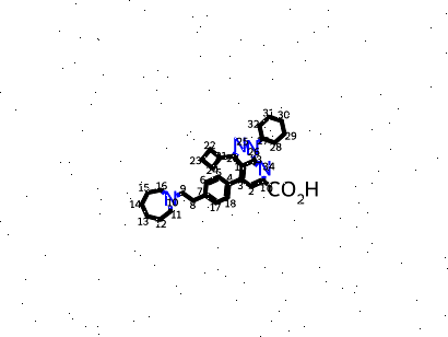 O=C(O)c1cc(-c2ccc(CCN3CCCCCC3)cc2)c2c(C3CCC3)nn(C3CCCCC3)c2n1